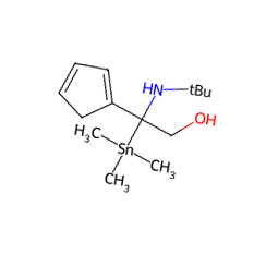 CC(C)(C)N[C](CO)(C1=CC=CC1)[Sn]([CH3])([CH3])[CH3]